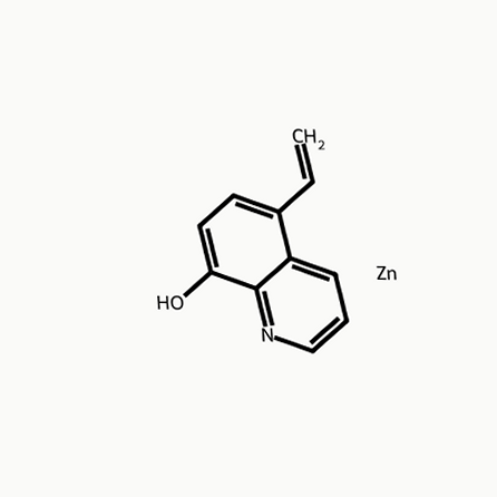 C=Cc1ccc(O)c2ncccc12.[Zn]